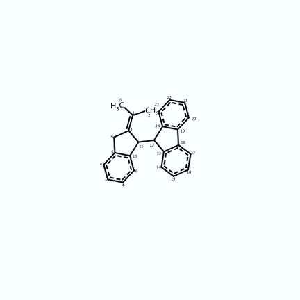 CC(C)=C1Cc2ccccc2C1C1c2ccccc2-c2ccccc21